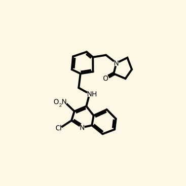 O=C1CCCN1Cc1cccc(CNc2c([N+](=O)[O-])c(Cl)nc3ccccc23)c1